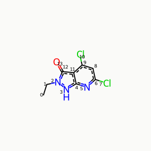 CCn1[nH]c2nc(Cl)cc(Cl)c2c1=O